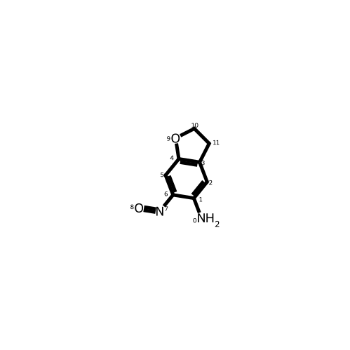 Nc1cc2c(cc1N=O)OCC2